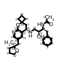 CC(=O)N[C@@H](Cc1ccccc1)[C@@H](O)CN[C@H]1CC2(CCC2)Oc2ncc(C[C@]3(C)CCCO3)cc21